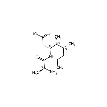 CCC[C@@H](C)[C@@H](C)[C@@H](CC(=O)O)NC(=O)[C@H](C)N